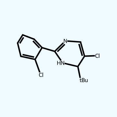 CC(C)(C)C1NC(c2ccccc2Cl)=NC=C1Cl